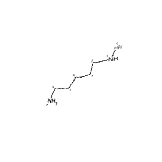 [CH2]CCNCCCCCN